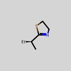 CC[C@H](C)C1=NCCS1